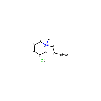 CCCCCCCC[N+]1(C)CCCCC1.[Cl-]